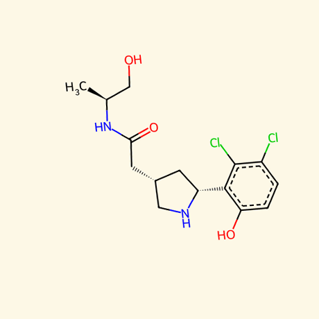 C[C@@H](CO)NC(=O)C[C@H]1CN[C@@H](c2c(O)ccc(Cl)c2Cl)C1